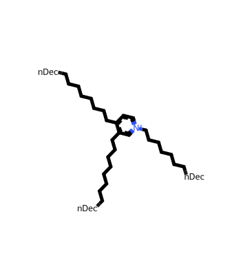 CCCCCCCCCCCCCCCCCCc1cc[n+](CCCCCCCCCCCCCCCCC)cc1CCCCCCCCCCCCCCCCCC